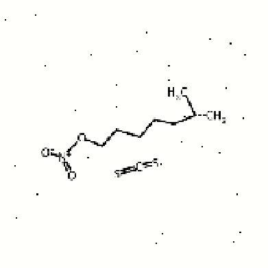 CC(C)CCCCCO[N+](=O)[O-].S=C=S